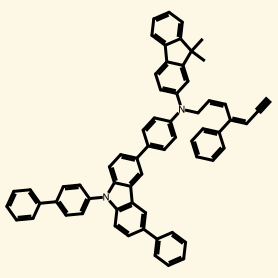 C#C/C=C(\C=C/CN(c1ccc(-c2ccc3c(c2)c2cc(-c4ccccc4)ccc2n3-c2ccc(-c3ccccc3)cc2)cc1)c1ccc2c(c1)C(C)(C)c1ccccc1-2)c1ccccc1